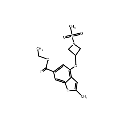 CCOC(=O)c1cc(OC2CN(S(C)(=O)=O)C2)c2cc(C)oc2c1